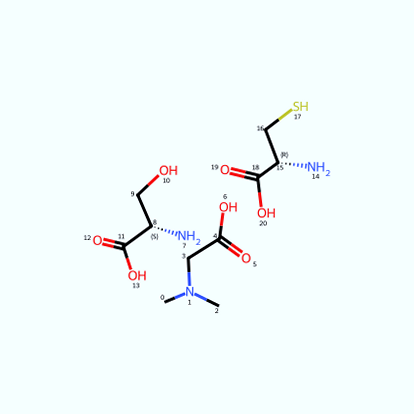 CN(C)CC(=O)O.N[C@@H](CO)C(=O)O.N[C@@H](CS)C(=O)O